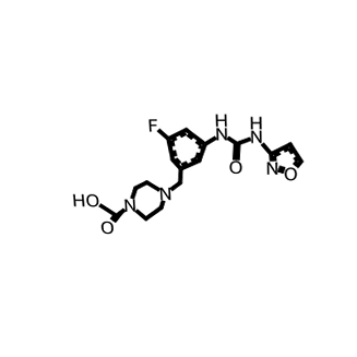 O=C(Nc1cc(F)cc(CN2CCN(C(=O)O)CC2)c1)Nc1ccon1